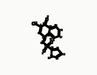 O=C1C(Cl)=C/C(=N/S(=O)(=O)c2cccs2)c2ccccc21